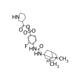 C[C@]12CC3CC(NC(=O)Nc4ccc(S(=O)(=O)OC(=O)C5CCCNC5)cc4F)(C1)C[C@@](C)(C3)C2